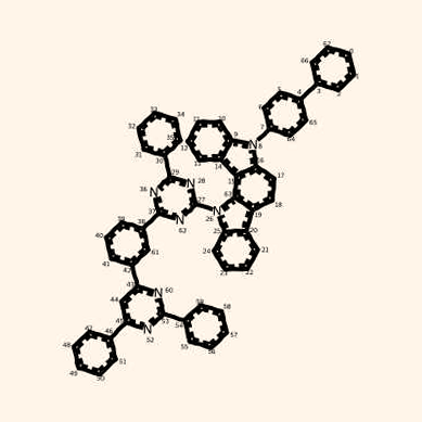 c1ccc(-c2ccc(-n3c4ccccc4c4c3ccc3c5ccccc5n(-c5nc(-c6ccccc6)nc(-c6cccc(-c7cc(-c8ccccc8)nc(-c8ccccc8)n7)c6)n5)c34)cc2)cc1